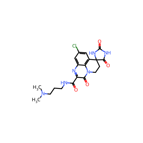 CN(C)CCCNC(=O)c1nc2cc(Cl)cc3c2n(c1=O)CCC31NC(=O)NC1=O